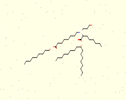 CCCCCCCCCOC(=O)CCCCCCCN(CCCO)C(CCCCCC)C(=O)OC(CCCCCCCC)CCCCCCCC